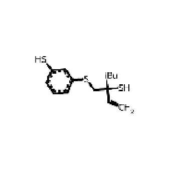 C=CC(S)(CSc1cccc(S)c1)[C@H](C)CC